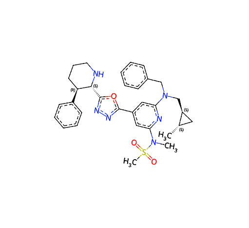 C[C@H]1C[C@@H]1CN(Cc1ccccc1)c1cc(-c2nnc([C@H]3NCCC[C@@H]3c3ccccc3)o2)cc(N(C)S(C)(=O)=O)n1